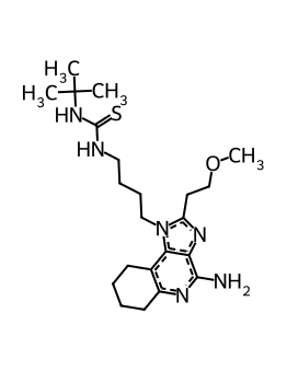 COCCc1nc2c(N)nc3c(c2n1CCCCNC(=S)NC(C)(C)C)CCCC3